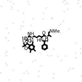 CNCC(C)NC(=O)C(CCCNC(=N)NS(=O)(=O)C1c2c(C)cc(C)c(C)c2OC1(C)C)NC(=O)c1ccccc1